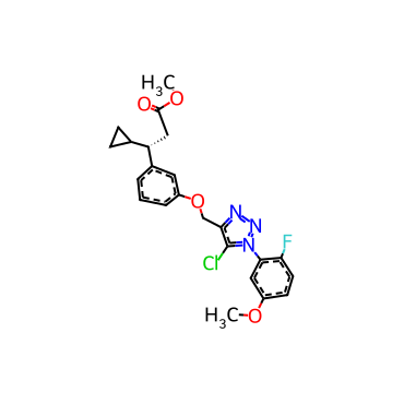 COC(=O)C[C@H](c1cccc(OCc2nnn(-c3cc(OC)ccc3F)c2Cl)c1)C1CC1